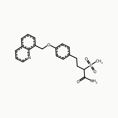 CS(=O)(=O)C(CCc1ccc(OCc2cccc3cccnc23)cc1)C(N)=O